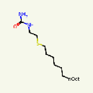 CCCCCCCCCCCCCCSCCNC(N)=O